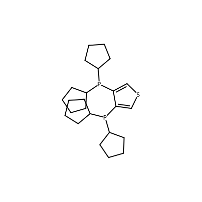 c1scc(P(C2CCCC2)C2CCCC2)c1P(C1CCCC1)C1CCCC1